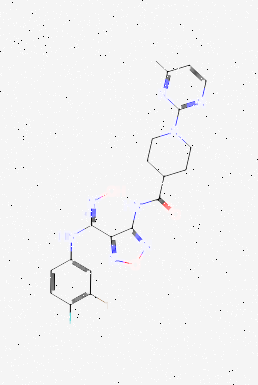 O=C(Nc1nonc1/C(=N\O)Nc1ccc(F)c(Br)c1)C1CCN(c2nccc(C(F)(F)F)n2)CC1